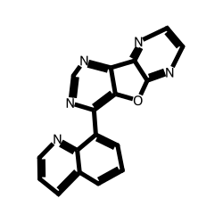 c1cnc2c(-c3ncnc4c3oc3nccnc34)cccc2c1